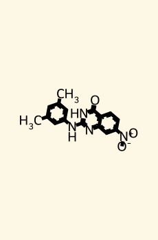 Cc1cc(C)cc(Nc2nc3cc([N+](=O)[O-])ccc3c(=O)[nH]2)c1